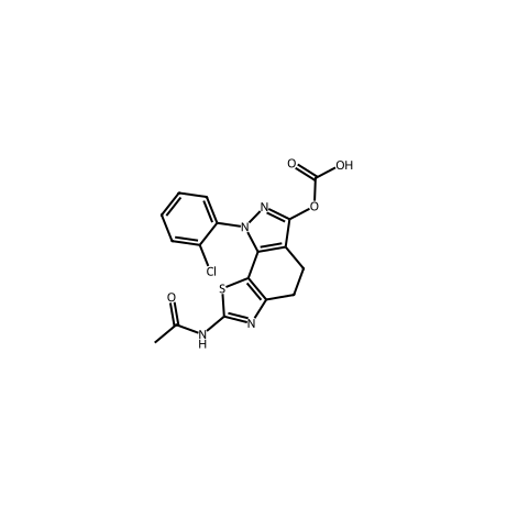 CC(=O)Nc1nc2c(s1)-c1c(c(OC(=O)O)nn1-c1ccccc1Cl)CC2